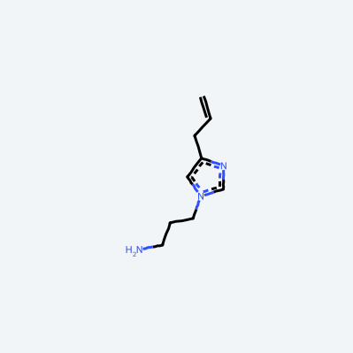 C=CCc1cn(CCCN)cn1